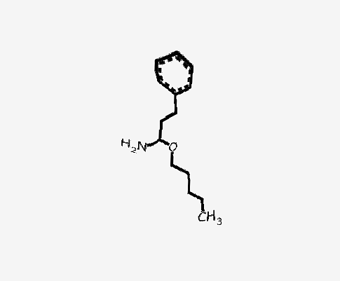 CCCCCOC(N)CCc1ccccc1